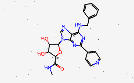 CNC(=O)[C@@H]1OC(n2cnc3c(NCc4ccccc4)nc(-c4ccncc4)nc32)C(O)C1O